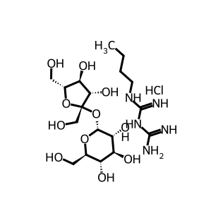 CCCCNC(=N)NC(=N)N.Cl.OC[C@H]1O[C@@](CO)(O[C@H]2O[C@H](CO)[C@@H](O)[C@H](O)[C@H]2O)[C@@H](O)[C@@H]1O